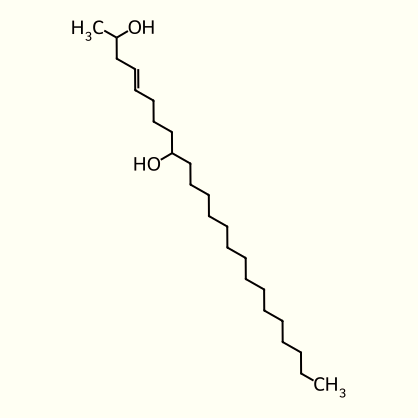 CCCCCCCCCCCCCCCC(O)CCCC=CCC(C)O